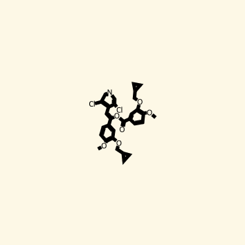 COc1ccc(C(=O)OC(=Cc2c(Cl)cncc2Cl)c2ccc(OC)c(OCC3CC3)c2)cc1OCC1CC1